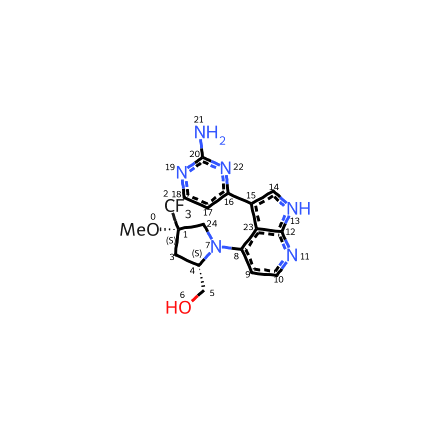 CO[C@@]1(C(F)(F)F)C[C@@H](CO)N(c2ccnc3[nH]cc(-c4ccnc(N)n4)c23)C1